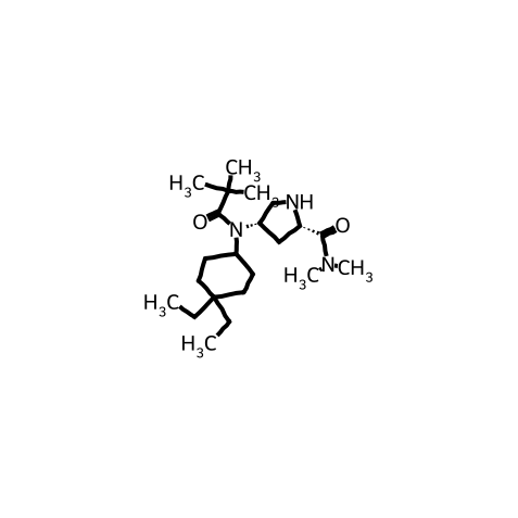 CCC1(CC)CCC(N(C(=O)C(C)(C)C)[C@@H]2CN[C@H](C(=O)N(C)C)C2)CC1